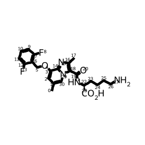 Cc1cc(OCc2c(F)cccc2F)c2nc(C)c(C(=O)N[C@@H](CCCCN)C(=O)O)n2c1